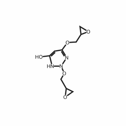 OC1=CC(OCC2CO2)=NN(OCC2CO2)N1